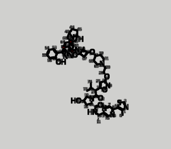 Cc1ncsc1-c1cnc([C@H](C)NC(=O)[C@@H]2C[C@@H](O)CN2C(=O)[C@H](c2cc(OCCN3CCC(OC4CC(Oc5cc(N6C7CC[C@@H]6CN(c6cc(-c8ccccc8O)nnc6N)C7)ccn5)C4)CC3)no2)C(C)C)cn1